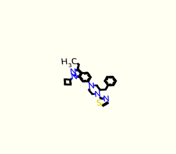 CCc1nn(C2CCC2)c2cc(N3CCN(c4nccs4)C(Cc4ccccc4)C3)ccc12